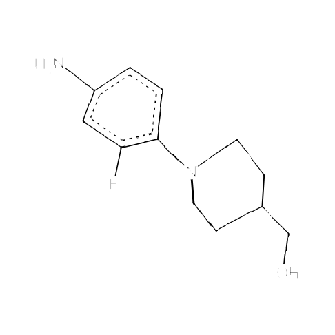 Nc1ccc(N2CCC(CO)CC2)c(F)c1